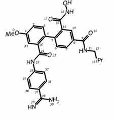 COc1ccc(-c2ccc(C(=O)NCC(C)C)cc2C(=O)NO)c(C(=O)Nc2ccc(C(=N)N)cc2)c1